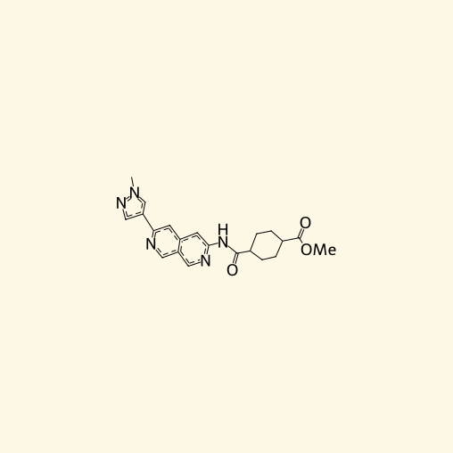 COC(=O)C1CCC(C(=O)Nc2cc3cc(-c4cnn(C)c4)ncc3cn2)CC1